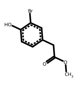 COC(=O)Cc1ccc(O)c(Br)c1